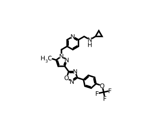 Cc1cc(-c2nc(-c3ccc(OC(F)(F)F)cc3)no2)nn1Cc1ccc(CNC2CC2)nc1